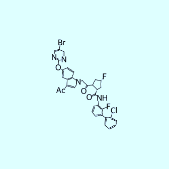 CC(=O)c1cn(CC(=O)C2C[C@H](F)C[C@H]2C(=O)Nc2cccc(-c3ccccc3Cl)c2F)c2ccc(Oc3ncc(Br)cn3)cc12